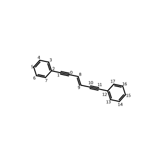 C(#Cc1ccccc1)/C=C/C#Cc1ccccc1